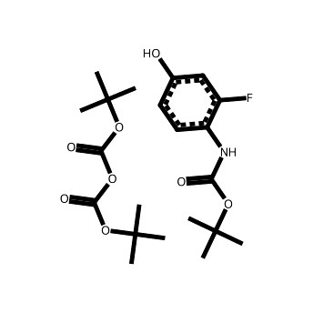 CC(C)(C)OC(=O)Nc1ccc(O)cc1F.CC(C)(C)OC(=O)OC(=O)OC(C)(C)C